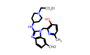 CCOC(=O)CN1CCC(Nc2nc3ccc(C=O)cc3n2Cc2nc(C)ccc2O)CC1